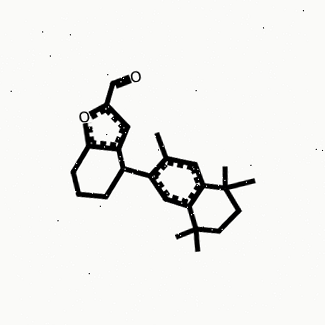 Cc1cc2c(cc1C1CCCc3oc(C=O)cc31)C(C)(C)CCC2(C)C